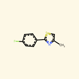 Cc1csc(-c2ccc(F)cc2)n1